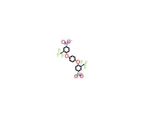 O=[N+]([O-])c1ccc(Oc2ccc(Oc3ccc([N+](=O)[O-])cc3C(F)(F)F)cc2)c(C(F)(F)F)c1